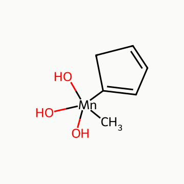 [CH3][Mn]([OH])([OH])([OH])[C]1=CC=CC1